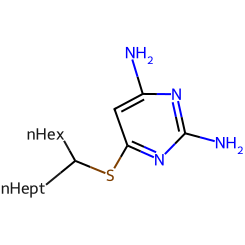 CCCCCCCC(CCCCCC)Sc1cc(N)nc(N)n1